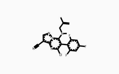 C=C(C)CN(C)c1c(-c2c(F)cc(F)cc2F)c(Cl)nc2c(C#N)cnn12